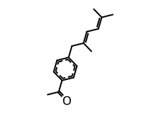 CC(=O)c1ccc(C/C(C)=C/C=C(C)C)cc1